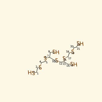 SCCSCCSC(CS)CSCC(CS)SCCSCCS